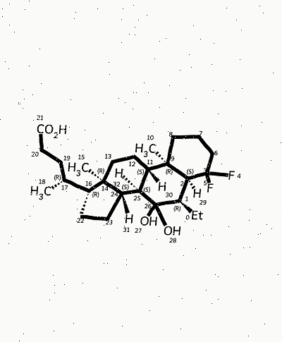 CC[C@@H]1[C@@H]2C(F)(F)CCC[C@]2(C)[C@H]2CC[C@]3(C)[C@@H]([C@H](C)CCC(=O)O)CC[C@H]3[C@@H]2C1(O)O